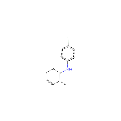 CC1C=CCCC1Nc1ccc(Cl)cc1